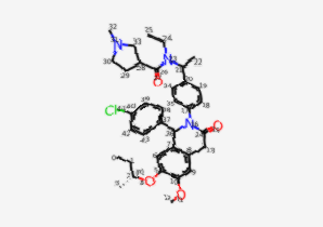 CC[C@@H](C)Oc1cc2c(cc1OC)CC(=O)N(c1ccc(C(C)N(CC)C(=O)C3CCN(C)C3)cc1)C2c1ccc(Cl)cc1